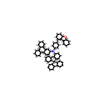 c1ccc2c(c1)-c1ccccc1C21c2ccccc2-c2c(N(c3ccc(-c4cccc5oc6ccccc6c45)cc3)c3ccc4c5ccccc5c5ccccc5c4c3)cccc21